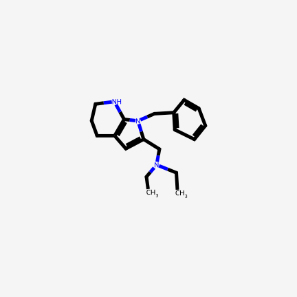 CCN(CC)Cc1cc2c(n1Cc1ccccc1)NCCC2